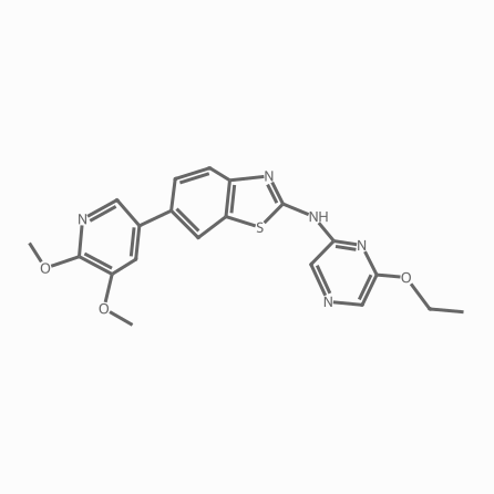 CCOc1cncc(Nc2nc3ccc(-c4cnc(OC)c(OC)c4)cc3s2)n1